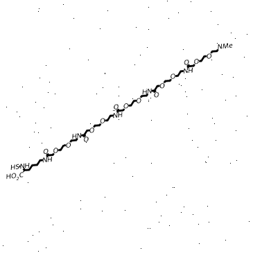 CNCCOCCOCC(=O)NCCOCCOCC(=O)NCCOCCOCC(=O)NCCOCCOCC(=O)NCCOCCOCC(=O)NCCCC[C@H](NS)C(=O)O